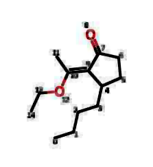 CCCCC1CCC(=O)C1=C(C)OCC